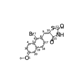 COc1ccc2c(Br)c(C=C3SC(=O)NC3=O)ccc2c1